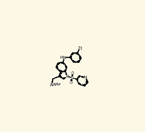 CCc1cccc(Nc2ccc3c(CNC)cn(S(=O)(=O)c4cccnc4)c3c2)c1